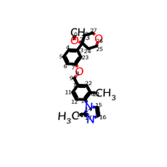 COC1(c2cccc(OCc3ccc(-n4ccnc4C)c(C)c3)c2)CCOCC1